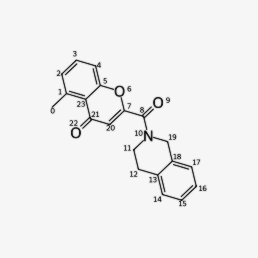 Cc1cccc2oc(C(=O)N3CCc4ccccc4C3)cc(=O)c12